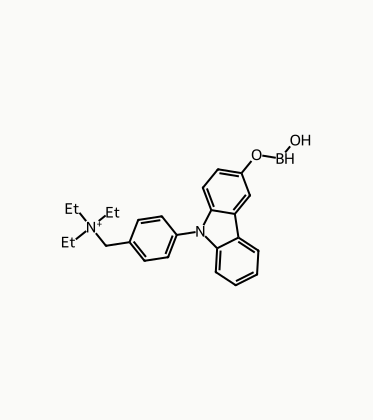 CC[N+](CC)(CC)Cc1ccc(-n2c3ccccc3c3cc(OBO)ccc32)cc1